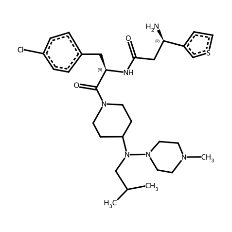 CC(C)CN(C1CCN(C(=O)[C@@H](Cc2ccc(Cl)cc2)NC(=O)C[C@@H](N)c2ccsc2)CC1)N1CCN(C)CC1